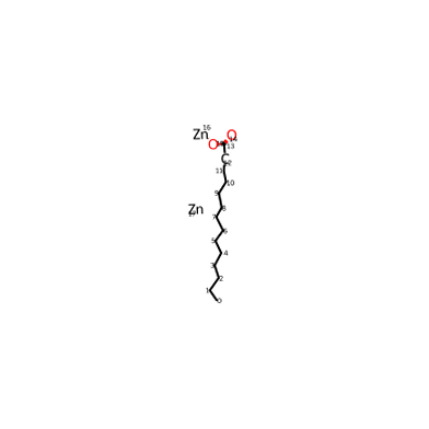 CCCCCCCCCCCCCC(=O)[O][Zn].[Zn]